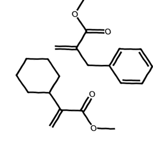 C=C(C(=O)OC)C1CCCCC1.C=C(Cc1ccccc1)C(=O)OC